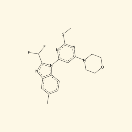 CSc1nc(N2CCOCC2)cc(-n2c(C(F)F)nc3cc(C)ccc32)n1